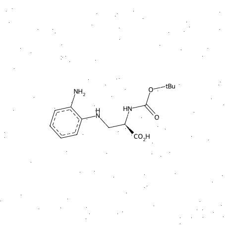 CC(C)(C)OC(=O)N[C@H](CNc1ccccc1N)C(=O)O